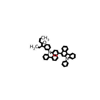 C=Cc1c(/C=C\C)oc2ccc(N(c3ccc(-c4cc5c(c6ccccc46)c4ccccc4n5-c4ccccc4)cc3)c3ccccc3-c3ccccc3)cc12